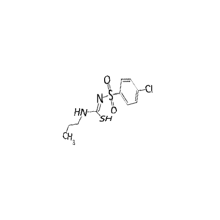 CCCN/C(S)=N/S(=O)(=O)c1ccc(Cl)cc1